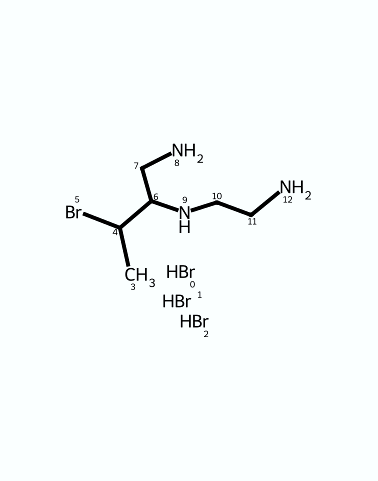 Br.Br.Br.CC(Br)C(CN)NCCN